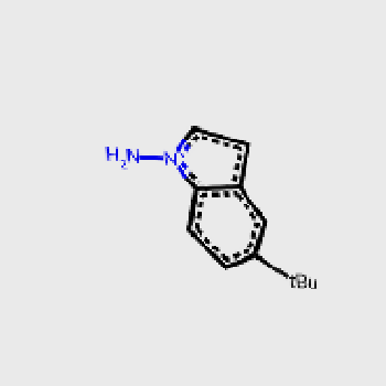 CC(C)(C)c1ccc2c(ccn2N)c1